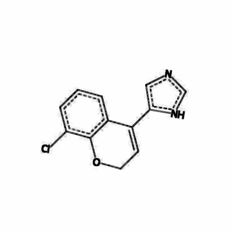 Clc1cccc2c1OCC=C2c1cnc[nH]1